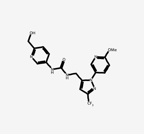 COc1ccc(-n2nc(C(F)(F)F)cc2CNC(=O)Nc2ccc(CO)nc2)cn1